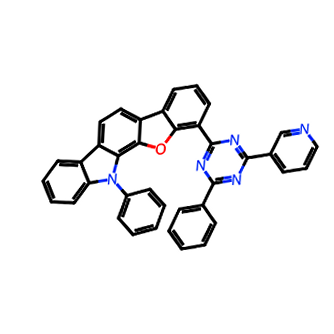 c1ccc(-c2nc(-c3cccnc3)nc(-c3cccc4c3oc3c4ccc4c5ccccc5n(-c5ccccc5)c43)n2)cc1